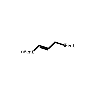 CCCCCC=CCC(C)CCC